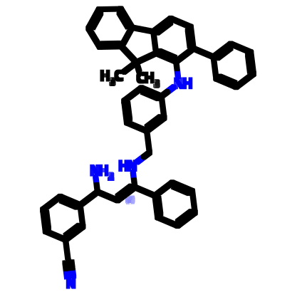 CC1(C)c2ccccc2-c2ccc(-c3ccccc3)c(Nc3cccc(CN/C(=C\C(N)c4cccc(C#N)c4)c4ccccc4)c3)c21